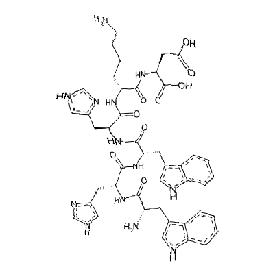 NCCCC[C@@H](NC(=O)[C@H](Cc1c[nH]cn1)NC(=O)[C@H](Cc1c[nH]c2ccccc12)NC(=O)[C@@H](Cc1c[nH]cn1)NC(=O)[C@@H](N)Cc1c[nH]c2ccccc12)C(=O)N[C@@H](CC(=O)O)C(=O)O